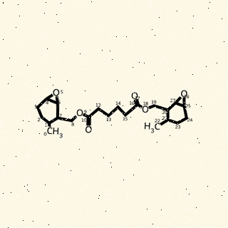 CC1CCC2OC2C1COC(=O)CCCCC(=O)OCC1C(C)CCC2OC21